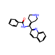 O=C(NC(=C1CCNCC1)c1ccc2ccccc2n1)c1ccccc1